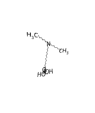 CCCCCCCCN(CCCCCCCC)CCCCCCCCCCCCCCOP(O)O